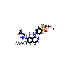 COc1cc2ccnc(Nc3ccc(S(C)(=O)=O)cc3)c2cc1NCC1CC1